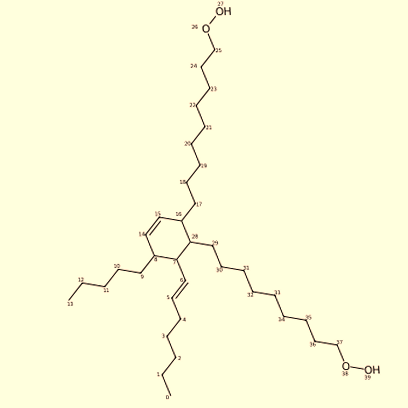 CCCCCC=CC1C(CCCCC)C=CC(CCCCCCCCCOO)C1CCCCCCCCCOO